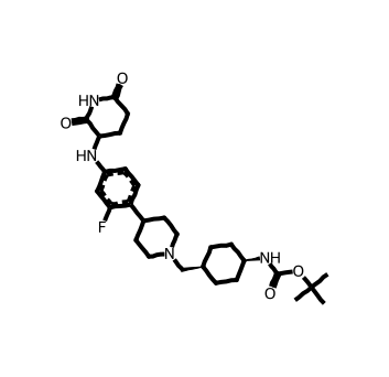 CC(C)(C)OC(=O)N[C@H]1CC[C@@H](CN2CCC(c3ccc(NC4CCC(=O)NC4=O)cc3F)CC2)CC1